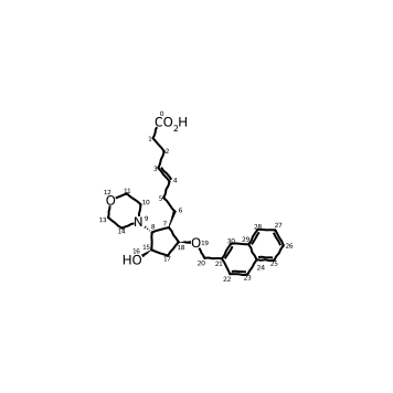 O=C(O)CCC=CCC[C@@H]1[C@@H](N2CCOCC2)[C@H](O)C[C@@H]1OCc1ccc2ccccc2c1